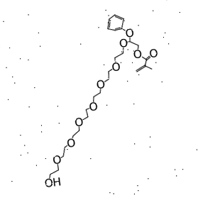 C=C(C)C(=O)OCC(OCCOCCOCCOCCOCCOCCOCCO)Oc1ccccc1